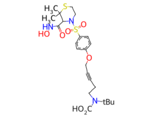 CC1(C)SCCN(S(=O)(=O)c2ccc(OCC#CCCN(C(=O)O)C(C)(C)C)cc2)C1C(=O)NO